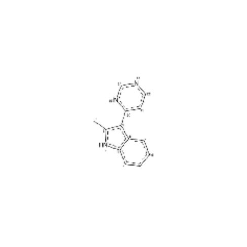 Cc1[nH]c2ccccc2c1-c1ccncn1